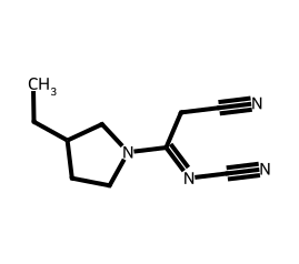 CCC1CCN(/C(CC#N)=N/C#N)C1